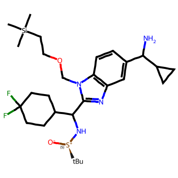 CC(C)(C)[S@@+]([O-])NC(c1nc2cc(C(N)C3CC3)ccc2n1COCC[Si](C)(C)C)C1CCC(F)(F)CC1